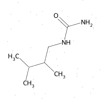 CC(C)C(C)CNC(N)=O